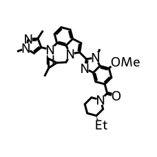 CC[C@@H]1CCCN(C(=O)c2cc(OC)c3c(c2)nc(-c2cc4cccc(Nc5cn(C)nc5C)c4n2CC2CC2C)n3C)C1